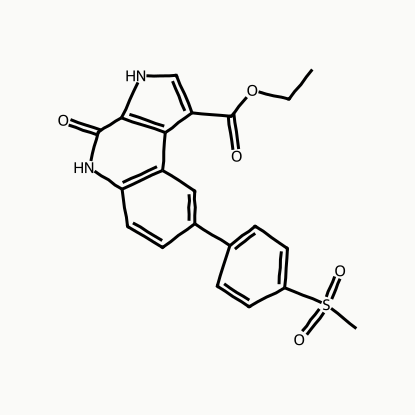 CCOC(=O)c1c[nH]c2c(=O)[nH]c3ccc(-c4ccc(S(C)(=O)=O)cc4)cc3c12